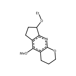 CCOC1CCc2c1nc1c(c2OC)CCCO1